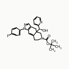 CC(C)(C)OC(=O)N1CCC2=Cc3c(cnn3-c3ccc(F)cc3)CC2([C@H](O)c2ccccn2)C1